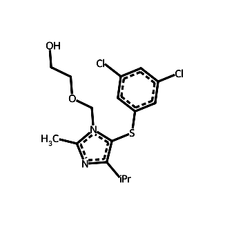 Cc1nc(C(C)C)c(Sc2cc(Cl)cc(Cl)c2)n1COCCO